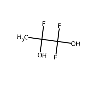 CC(O)(F)C(O)(F)F